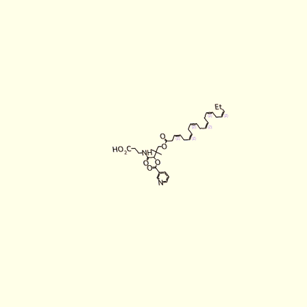 CC/C=C\C/C=C\C/C=C\C/C=C\C/C=C\C/C=C\CC(=O)OCC(C)(C)C(OC(=O)c1cccnc1)C(=O)NCCC(=O)O